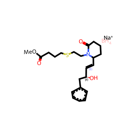 COC(=O)CCCSCCN1C(=O)CCCC1/C=C/[C@H](O)Cc1ccccc1.[BH4-].[Na+]